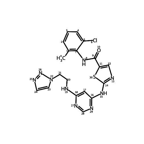 Cc1cccc(Cl)c1NC(=O)c1cnc(Nc2cc(NCCn3ccnn3)ncn2)s1